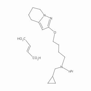 CCCN(CCCCOc1cc2n(n1)CCCC2)CC1CC1.O=C(O)C=CC(=O)O